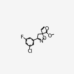 C=CC1(C(=O)OC)CC(c2cc(F)cc(Cl)c2)=NO1